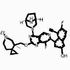 C#Cc1c(F)ccc2cc(O)cc(-c3ncc4c(N5C[C@H]6CC[C@@H](C5)N6)nc(OC[C@]5(C)CN(CC)CCC56CC6)nc4c3F)c12